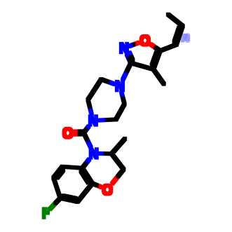 C/C=C\c1onc(N2CCN(C(=O)N3c4ccc(F)cc4OCC3C)CC2)c1C